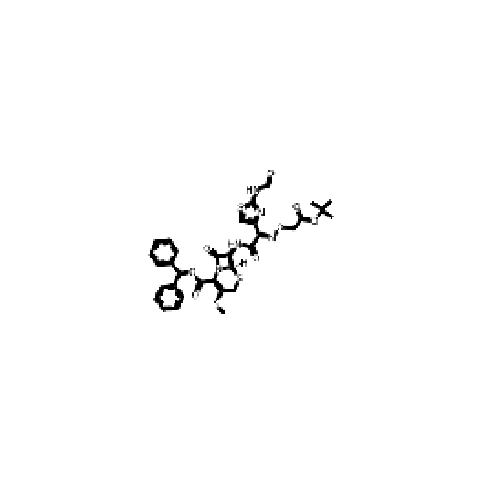 CSC1=C(C(=O)OC(c2ccccc2)c2ccccc2)N2C(=O)C(NC(=O)/C(=N/OCC(=O)OC(C)(C)C)c3csc(NC=O)n3)[C@H]2SC1